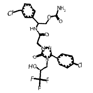 NC(=O)OCC(NC(=O)Cn1nc(-c2ccc(Cl)cc2)n(C[C@H](O)C(F)(F)F)c1=O)c1cccc(Cl)c1